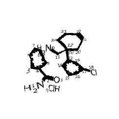 Cl.NC(=O)c1ccccc1.NC[C@]1(c2cccc(Cl)c2)CC#CCC1